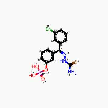 NC(=S)NN=C(c1cccc(Br)c1)c1cccc(OP(=O)(O)O)c1